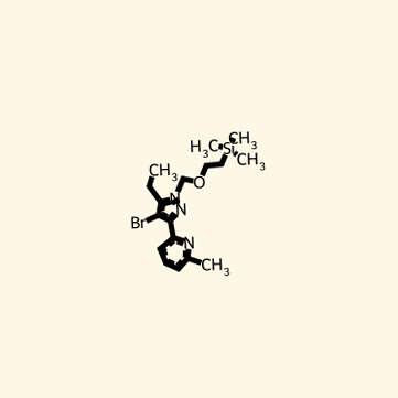 CCc1c(Br)c(-c2cccc(C)n2)nn1COCC[Si](C)(C)C